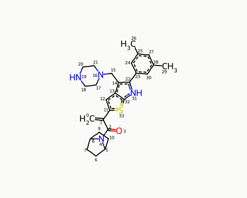 C=C(C(=O)N1C2CCC1CC2)c1cc2c(CN3CCNCC3)c(-c3cc(C)cc(C)c3)[nH]c2s1